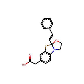 O=C(O)Cc1ccc2c(c1)SC1(/C=C/c3ccccc3)OCCN21